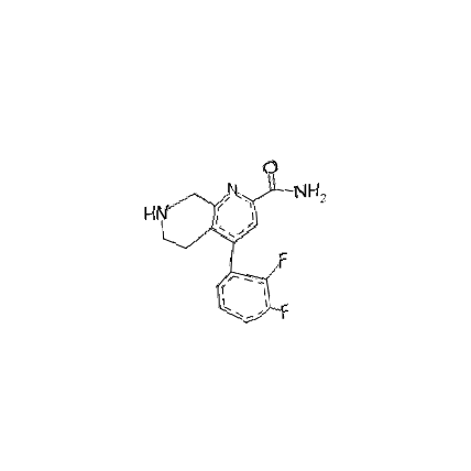 NC(=O)c1cc(-c2cccc(F)c2F)c2c(n1)CNCC2